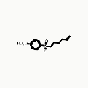 C=CCCCCS(=O)(=O)c1ccc(C(=O)O)cc1